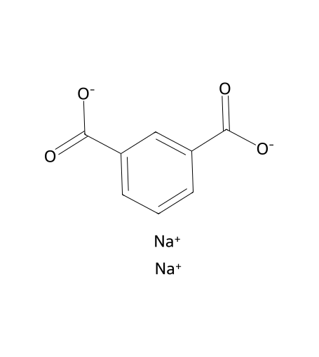 O=C([O-])c1cccc(C(=O)[O-])c1.[Na+].[Na+]